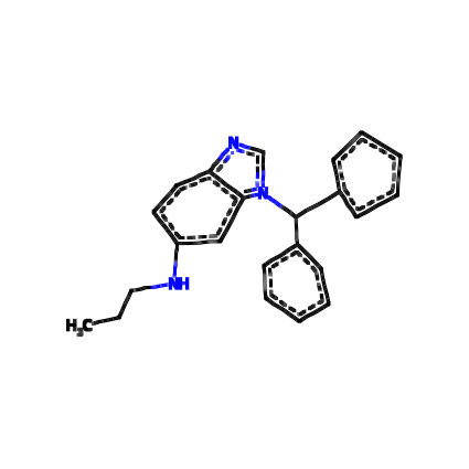 CCCNc1ccc2ncn(C(c3ccccc3)c3ccccc3)c2c1